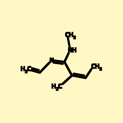 C=C/N=C(NC)\C(C)=C/C